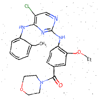 CCOc1cc(C(=O)N2CCOCC2)ccc1Nc1ncc(Cl)c(Nc2ccccc2C)n1